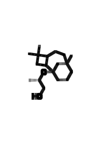 C[C@@H](CO)OC12CCCC(C)(CCC3C1CC3(C)C)C2